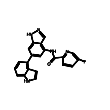 O=C(Nc1cc(-c2cccc3[nH]ccc23)cc2[nH]ncc12)c1ccc(F)cn1